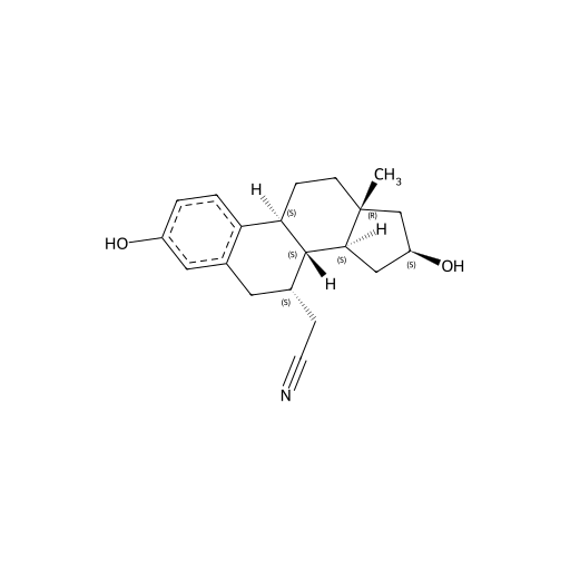 C[C@]12CC[C@@H]3c4ccc(O)cc4C[C@@H](CC#N)[C@H]3[C@@H]1C[C@H](O)C2